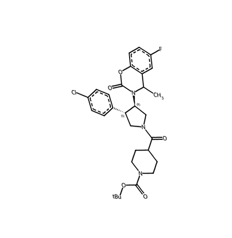 CC1c2cc(F)ccc2OC(=O)N1[C@H]1CN(C(=O)C2CCN(C(=O)OC(C)(C)C)CC2)C[C@@H]1c1ccc(Cl)cc1